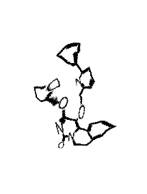 O=c1nc(OCC2CCCO2)c(OCc2cccc(-c3ccccc3)n2)c2n1CCc1ccccc1-2